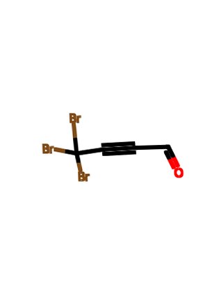 O=CC#CC(Br)(Br)Br